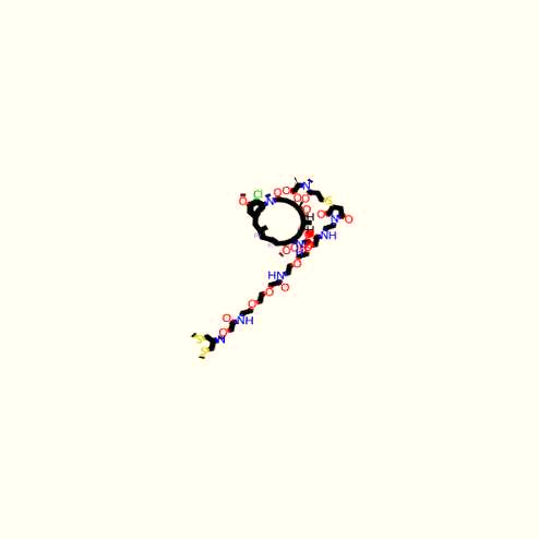 COc1cc2cc(c1Cl)N(C)C(=O)C[C@H](OC(=O)[C@H](C)N(C)C(=O)CCSC1CC(=O)N(CCNC(=O)COCCOCCNC(=O)COCCOCCNC(=O)CON=C(CSC)CSC)C1=O)[C@]1(C)O[C@H]1C(C)[C@@H]1C[C@@](O)(NC(=O)O1)[C@H](OC)/C=C/C=C(\C)C2